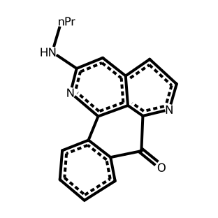 CCCNc1cc2ccnc3c2c(n1)-c1ccccc1C3=O